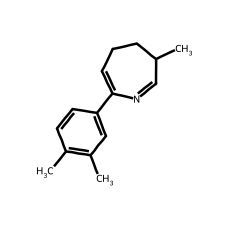 Cc1ccc(C2=CCCC(C)C=N2)cc1C